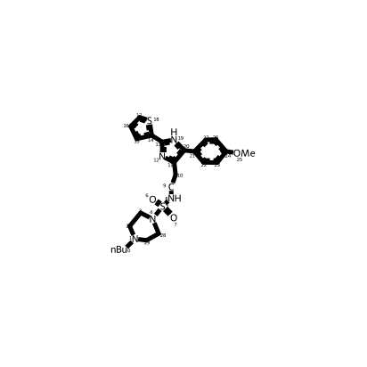 CCCCN1CCN(S(=O)(=O)NCCc2nc(-c3cccs3)[nH]c2-c2ccc(OC)cc2)CC1